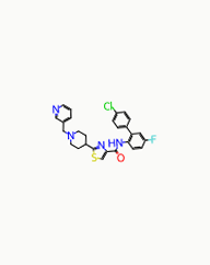 O=C(Nc1ccc(F)cc1-c1ccc(Cl)cc1)c1csc(C2CCN(Cc3cccnc3)CC2)n1